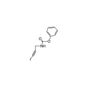 O=C(NCC#CI)Oc1ccccc1